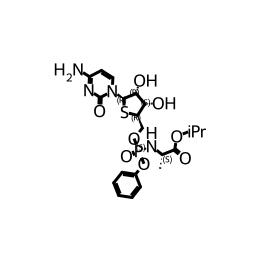 CC(C)OC(=O)[C@H](C)N[P@](=O)(OC[C@H]1S[C@@H](n2ccc(N)nc2=O)[C@H](O)[C@@H]1O)Oc1ccccc1